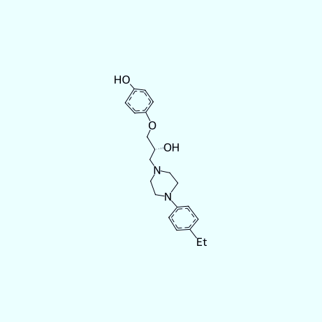 CCc1ccc(N2CCN(C[C@@H](O)COc3ccc(O)cc3)CC2)cc1